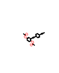 CC#Cc1ccc(C#Cc2cc(OC(C)=O)ccc2OC(C)=O)cc1